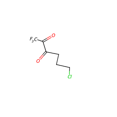 O=C(CCCCl)C(=O)C(F)(F)F